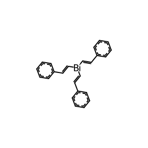 C(=[CH]\[Bi](/[CH]=C/c1ccccc1)/[CH]=C/c1ccccc1)/c1ccccc1